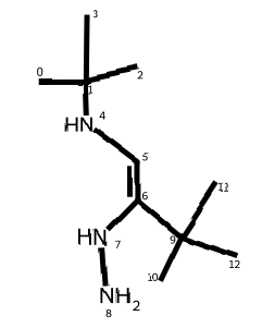 CC(C)(C)N/C=C(\NN)C(C)(C)C